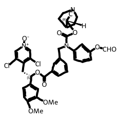 COc1ccc([C@H](Cc2c(Cl)c[n+]([O-])cc2Cl)OC(=O)c2cccc(CN(C(=O)O[C@H]3CN4CCC3CC4)c3cccc(OC=O)c3)c2)cc1OC